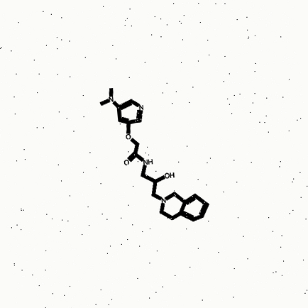 CN(C)c1cncc(OCC(=O)NCC(O)CN2CCc3ccccc3C2)c1